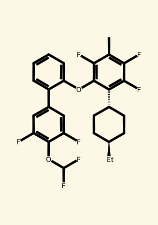 CC[C@H]1CC[C@H](c2c(F)c(F)c(C)c(F)c2Oc2ccccc2-c2cc(F)c(OC(F)F)c(F)c2)CC1